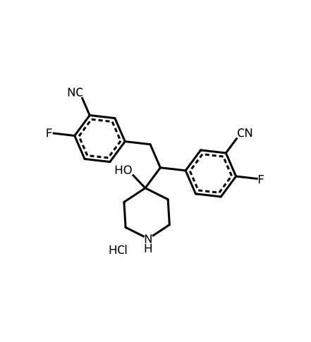 Cl.N#Cc1cc(CC(c2ccc(F)c(C#N)c2)C2(O)CCNCC2)ccc1F